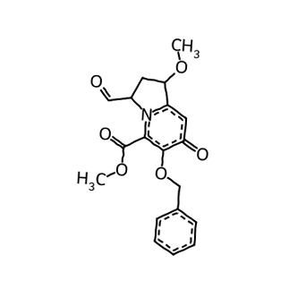 COC(=O)c1c(OCc2ccccc2)c(=O)cc2n1C(C=O)CC2OC